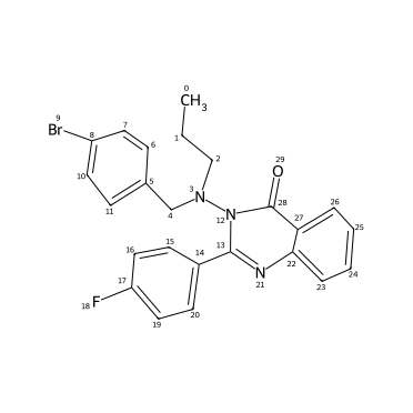 CCCN(Cc1ccc(Br)cc1)n1c(-c2ccc(F)cc2)nc2ccccc2c1=O